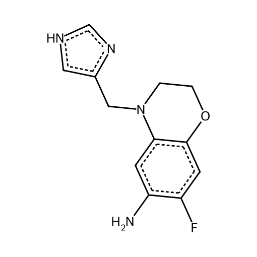 Nc1cc2c(cc1F)OCCN2Cc1c[nH]cn1